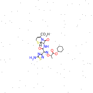 CC(ON=C(C(=O)NC1C(=O)N2C(C(=O)O)=CCS[C@@H]12)c1nsc(N)n1)C(=O)OC1CCCCC1